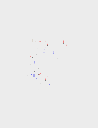 CC(C)N[C@@H](CCC(=O)O)C(=O)N[C@@H](CCC(=O)N1CCC(NC(C)C)(C(=O)N[C@H](C(N)=O)[C@@H](C)O)CC1)C(=O)S